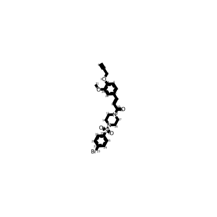 C#CCOc1ccc(/C=C/C(=O)N2CCN(S(=O)(=O)c3ccc(Br)cc3)CC2)cc1OC